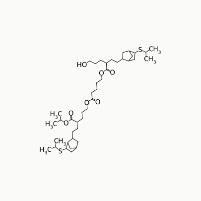 CC(C)OC(=O)C(CCCOC(=O)CCCCOC(=O)C(CCCO)CCC1CC2CC1CC2SC(C)C)CCC1CC2CC(SC(C)C)C1C2